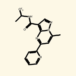 Cc1cc(-c2ccccn2)nc2c(C(=O)NC(C)C(F)(F)F)cnn12